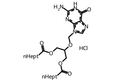 CCCCCCCC(=O)OCC(COC(=O)CCCCCCC)OCn1cnc2c(=O)[nH]c(N)nc21.Cl